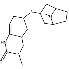 CN1CC2CC(SC3CC4CCC(C3)N4C)CC=C2NC1=O